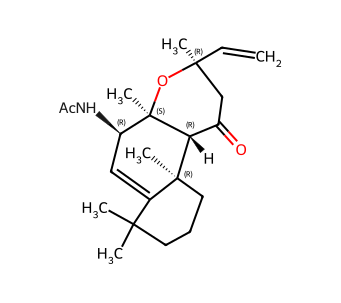 C=C[C@@]1(C)CC(=O)[C@H]2[C@](C)(O1)[C@H](NC(C)=O)C=C1C(C)(C)CCC[C@@]12C